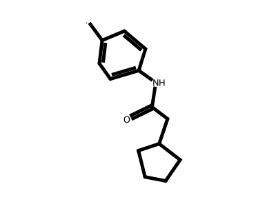 [CH2]c1ccc(NC(=O)CC2CCCC2)cc1